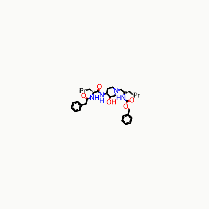 CC(C)C[C@H](CN1CCC(NC(=O)[C@H](CC(C)C)NC(=O)Cc2ccccc2)C(O)C1)NC(=O)OCc1ccccc1